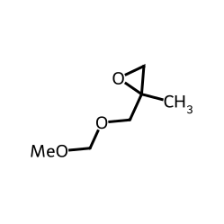 COCOCC1(C)CO1